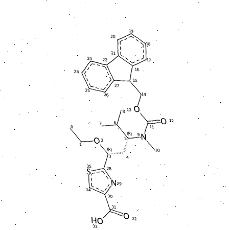 CCO[C@H](C[C@H](C(C)C)N(C)C(=O)OCC1c2ccccc2-c2ccccc21)c1nc(C(=O)O)cs1